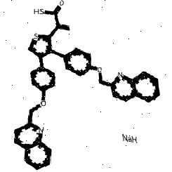 CC(C(=O)S)c1scc(-c2ccc(OCc3ccc4ccccc4n3)cc2)c1-c1ccc(OCc2ccc3ccccc3n2)cc1.[NaH]